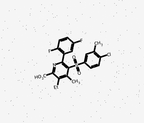 CCc1c(C(=O)O)nc(-c2cc(F)ccc2F)c(S(=O)(=O)c2ccc(Cl)c(C)c2)c1C